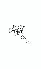 CC(C)N1C=C([C@@H](Nc2cc(Cl)c3ncc(C#N)c(Nc4ccc(F)c(Cl)c4)c3c2)c2cccc(CNCCN(C)C)c2)NN1